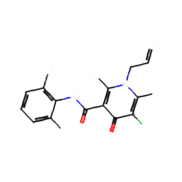 C=CCn1c(C)c(Cl)c(=O)c(C(=O)Nc2c(CC)cccc2CC)c1C